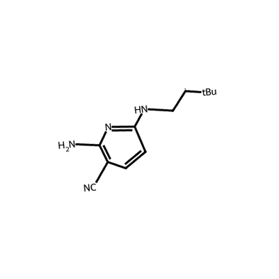 CC(C)(C)[CH]CNc1ccc(C#N)c(N)n1